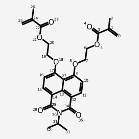 C=C(C)C(=O)OCCOc1ccc2c3c(ccc(OCCOC(=O)C(=C)C)c13)C(=O)N(C(C)C)C2=O